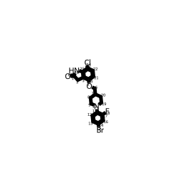 O=C1Cc2c(OCC3CCN(c4ccc(Br)cc4F)CC3)ccc(Cl)c2N1